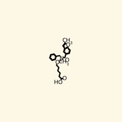 Cc1cc2cc(C(=O)N(C)Cc3ccccc3OCCCCCC(=O)O)ccc2o1